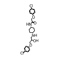 O=C(COc1ccc(Cl)cc1)N[C@H]1CC[C@@H](NCC(O)COc2ccc(Cl)cc2)CC1